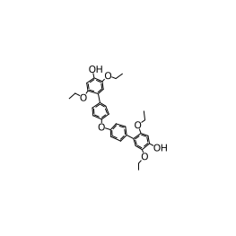 CCOc1cc(-c2ccc(Oc3ccc(-c4cc(OCC)c(O)cc4OCC)cc3)cc2)c(OCC)cc1O